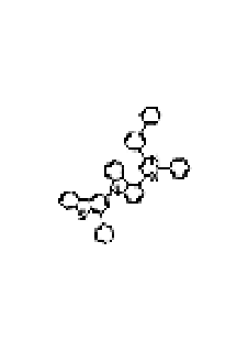 c1ccc(-c2cccc(-c3cc(-c4cccc5c4c4ccccc4n5-c4cc(-c5ccccc5)c5sc6ccccc6c5c4)nc(-c4ccccc4)n3)c2)cc1